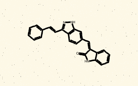 O=C1Nc2ccccc2C1=Cc1ccc2c(C=Cc3ccccc3)n[nH]c2c1